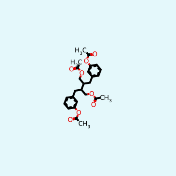 CC(=O)OCC(Cc1cccc(OC(C)=O)c1)C(COC(C)=O)Cc1cccc(OC(C)=O)c1